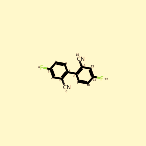 N#Cc1cc(F)ccc1-c1ccc(F)cc1C#N